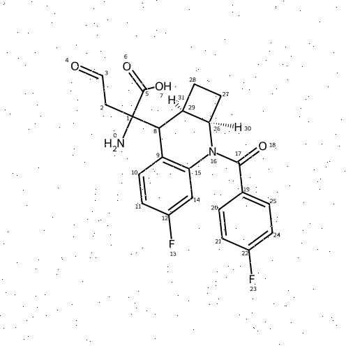 NC(CC=O)(C(=O)O)C1c2ccc(F)cc2N(C(=O)c2ccc(F)cc2)[C@@H]2CC[C@H]12